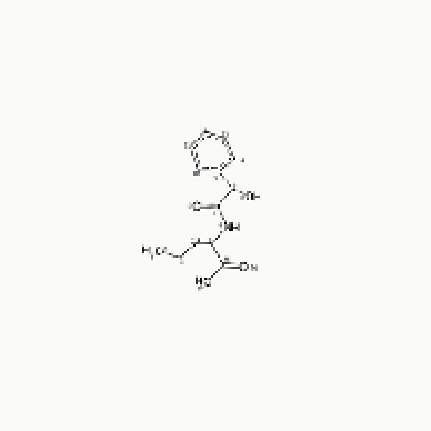 CCSC(NC(=O)C(O)c1ccccc1)C(=O)O